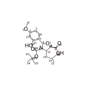 COc1ccc(C2O[C@@H](C(=O)O)C(CC(C)C)N2C(=O)OC(C)(C)C)c(O)c1